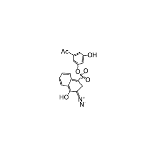 CC(=O)c1cc(O)cc(OS(=O)(=O)C2=c3ccccc3=C(O)C(=[N+]=[N-])C2)c1